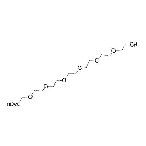 CCCCCCCCCCCOCCOCCOCCOCCOCCOCCO